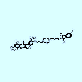 COc1cc(Nc2c(C#N)cnc3cc(OCCCN4CCN(CCCCN5C(=O)c6ccc(F)cc6C5=O)CC4)c(OC)cc23)c(Cl)cc1Cl